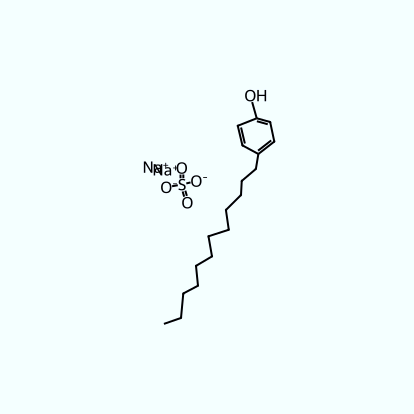 CCCCCCCCCCCCc1ccc(O)cc1.O=S(=O)([O-])[O-].[Na+].[Na+]